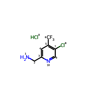 Cl.NCc1cc(C(F)(F)F)c(Cl)cn1